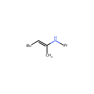 CCC(C)/C=C(\C)NC(C)C